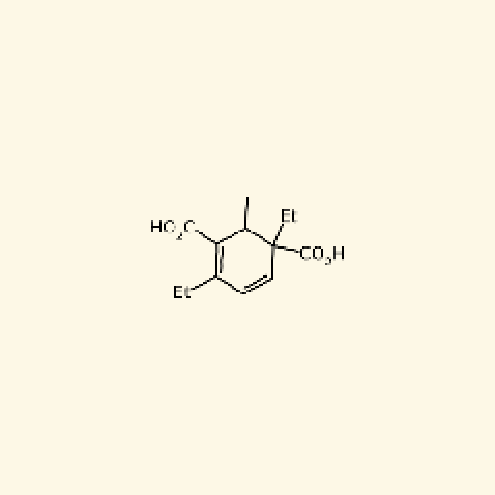 CCC1=C(C(=O)O)C(C)C(CC)(C(=O)O)C=C1